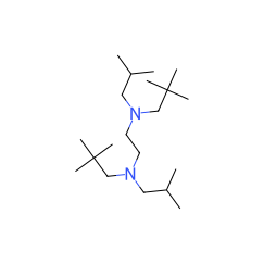 CC(C)CN(CCN(CC(C)C)CC(C)(C)C)CC(C)(C)C